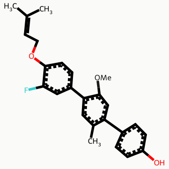 COc1cc(-c2ccc(O)cc2)c(C)cc1-c1ccc(OCC=C(C)C)c(F)c1